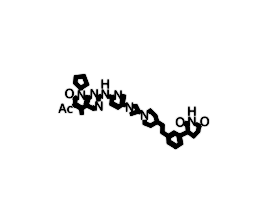 CC(=O)c1c(C)c2cnc(Nc3ccc(N4CC(N5CCC(CCc6cccc(C7CCC(=O)NC7=O)c6)CC5)C4)cn3)nc2n(C2CCCC2)c1=O